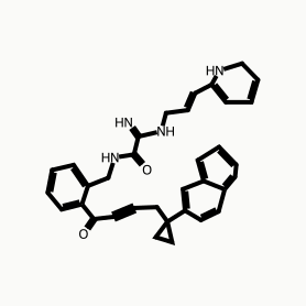 N=C(NC/C=C/C1=CC=CCN1)C(=O)NCc1ccccc1C(=O)C#CCC1(c2ccc3ccccc3c2)CC1